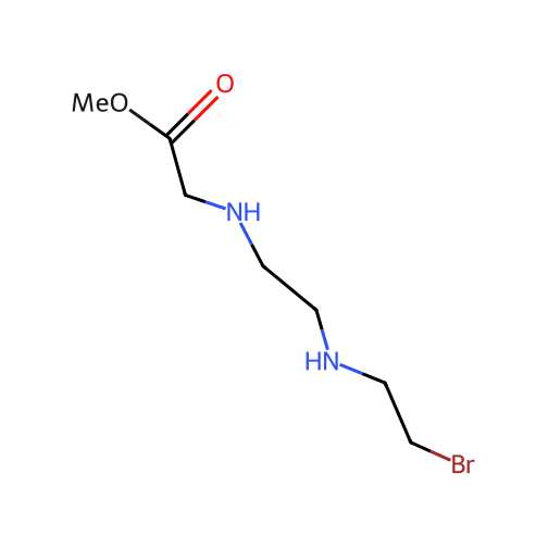 COC(=O)CNCCNCCBr